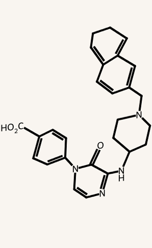 O=C(O)c1ccc(-n2ccnc(NC3CCN(Cc4ccc5c(c4)=CCCC=5)CC3)c2=O)cc1